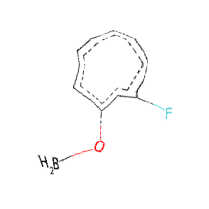 BOc1ccccc1F